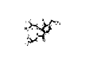 CCn1ccc(C(=O)OCC(C)C)c(OCC(C)C)c1=O